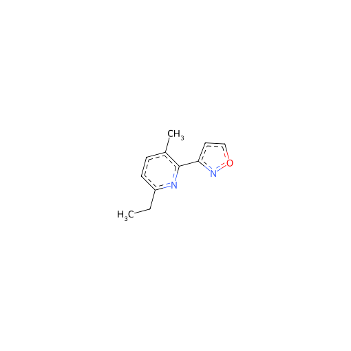 CCc1ccc(C)c(-c2ccon2)n1